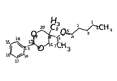 CCCCCOC(C)C1(C)COC(c2ccccc2)OC1